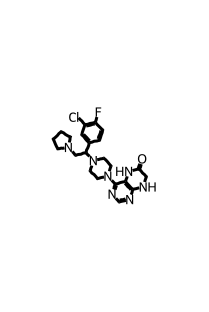 O=C1CNc2ncnc(N3CCN(C(CN4CCCC4)c4ccc(F)c(Cl)c4)CC3)c2N1